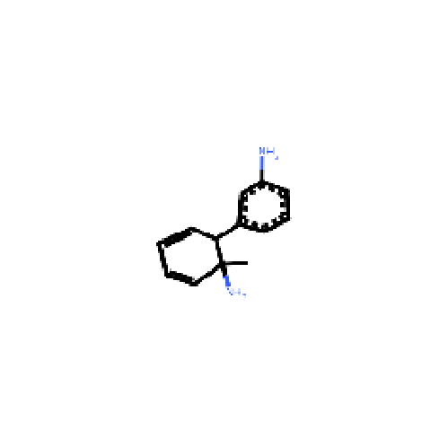 CC1(N)C=CC=CC1c1cccc(N)c1